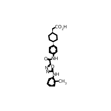 Cc1ccccc1Nc1nnc(C(=O)Nc2ccc([C@H]3CC[C@H](CC(=O)O)CC3)cc2)o1